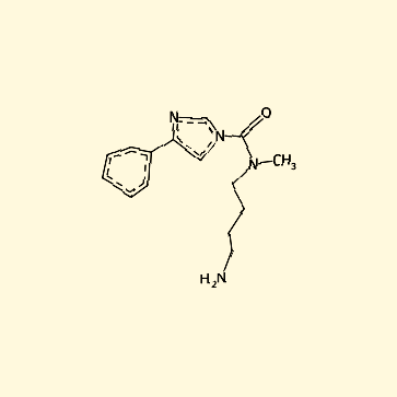 CN(CCCCN)C(=O)n1cnc(-c2ccccc2)c1